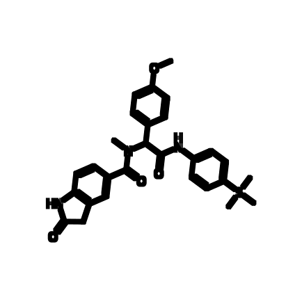 COc1ccc(C(C(=O)Nc2ccc(S(C)(C)C)cc2)N(C)C(=O)c2ccc3c(c2)CC(=O)N3)cc1